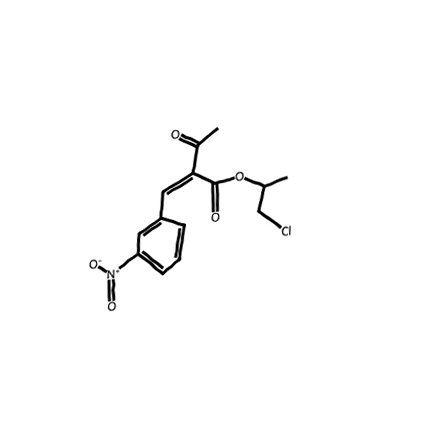 CC(=O)C(=Cc1cccc([N+](=O)[O-])c1)C(=O)OC(C)CCl